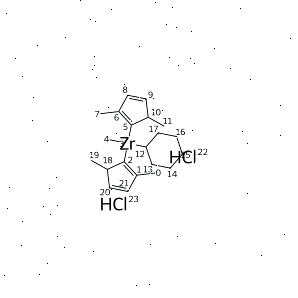 CC1=[C]([Zr]([CH3])([C]2=C(C)C=CC2C)[CH]2CCCCC2)C(C)C=C1.Cl.Cl